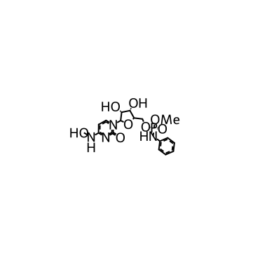 COP(=O)(Nc1ccccc1)OCC1OC(n2ccc(NO)nc2=O)[C@H](O)[C@@H]1O